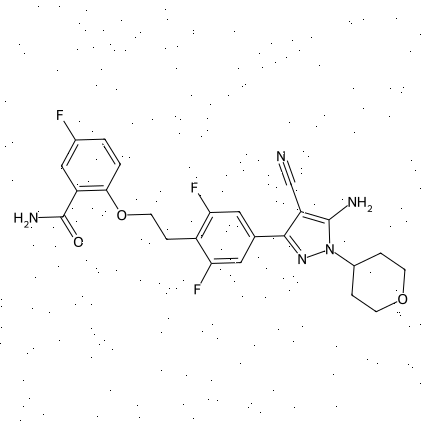 N#Cc1c(-c2cc(F)c(CCOc3ccc(F)cc3C(N)=O)c(F)c2)nn(C2CCOCC2)c1N